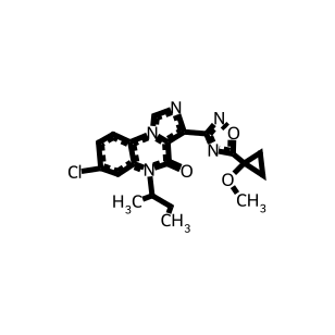 CCC(C)n1c(=O)c2c(-c3noc(C4(OC)CC4)n3)ncn2c2ccc(Cl)cc21